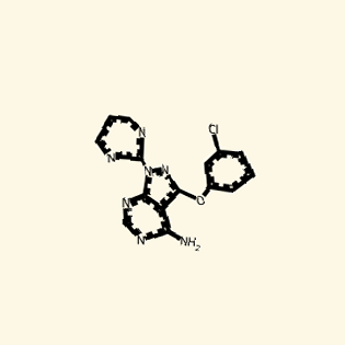 Nc1ncnc2c1c(Oc1cccc(Cl)c1)nn2-c1ncccn1